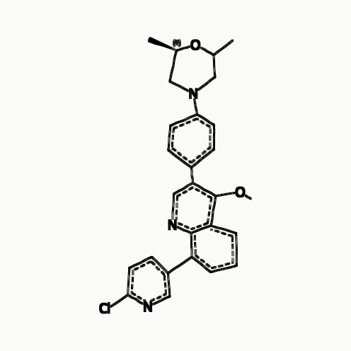 COc1c(-c2ccc(N3CC(C)O[C@H](C)C3)cc2)cnc2c(-c3ccc(Cl)nc3)cccc12